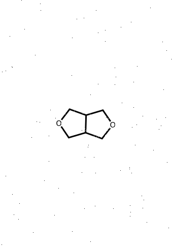 C1OCC2COCC12